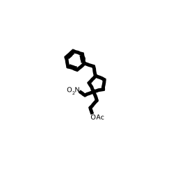 CC(=O)OCCC1(C[N+](=O)[O-])CCC(Cc2ccccc2)C1